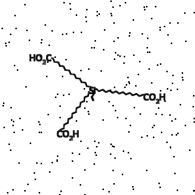 C=CC[Si](CCCCCCCCCCCCCCCC(=O)O)(CCCCCCCCCCCCCCCC(=O)O)CCCCCCCCCCCCCCCC(=O)O